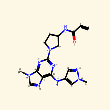 C=CC(=O)NC1CCN(c2nc(Nc3cnn(C)c3)c3ncn(C(C)C)c3n2)C1